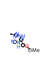 C#Cc1cnc(Nc2cc(NC3CCN(C)CC3)c(-c3cccc(OCCOC)c3)cn2)cn1